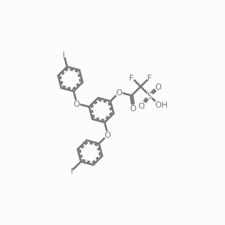 O=C(Oc1cc(Oc2ccc(I)cc2)cc(Oc2ccc(I)cc2)c1)C(F)(F)S(=O)(=O)O